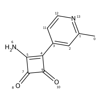 Cc1cc(-c2c(N)c(=O)c2=O)ccn1